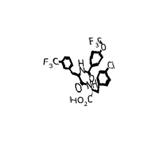 O=C(N[C@H](Cc1ccc(Cl)cc1)C(=O)O)C(=Cc1cccc(C(F)(F)F)c1)NC(=O)c1ccc(OC(F)(F)F)cc1